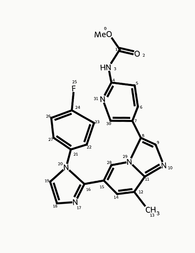 COC(=O)Nc1ccc(-c2cnc3c(C)cc(-c4nccn4-c4ccc(F)cc4)cn23)cn1